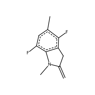 C=C1Cc2c(F)c(C)cc(F)c2N1C